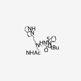 CC(=O)NCCN(CCCCc1ccc2c(n1)NCCC2)CC[C@H](Nc1nc2ccccc2s1)C(=O)OC(C)(C)C